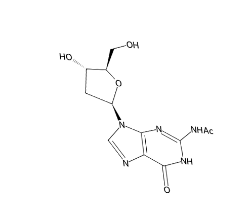 CC(=O)Nc1nc2c(ncn2[C@H]2C[C@H](O)[C@@H](CO)O2)c(=O)[nH]1